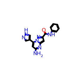 Nc1cc(-c2cn[nH]c2)n2nc(C(=O)Nc3ccccc3)cc2n1